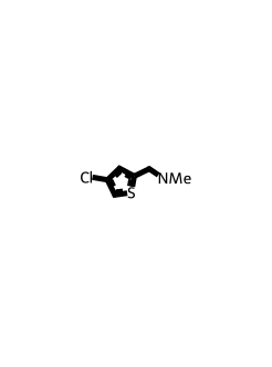 CNCc1cc(Cl)cs1